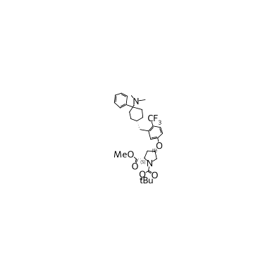 COC(=O)[C@@H]1C[C@H](Oc2ccc(C(F)(F)F)c(C[C@H]3CC[C@](c4ccccc4)(N(C)C)CC3)c2)CN1C(=O)OC(C)(C)C